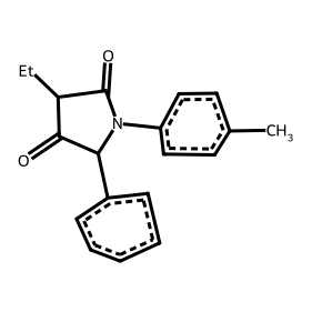 CCC1C(=O)C(c2ccccc2)N(c2ccc(C)cc2)C1=O